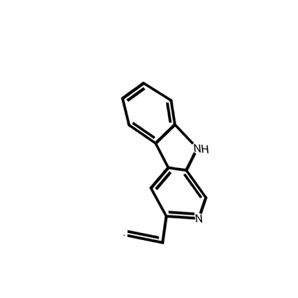 [CH]=Cc1cc2c(cn1)[nH]c1ccccc12